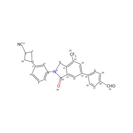 N#CC1CC(c2cccc(N3Cc4c(cc(-c5ccc(C=O)cc5)cc4C(F)(F)F)C3=O)c2)C1